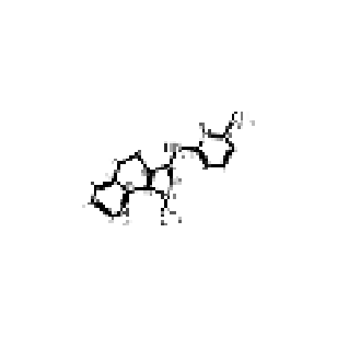 Cc1cccc(Nc2nn(C)c3c2CCc2cccnc2-3)n1